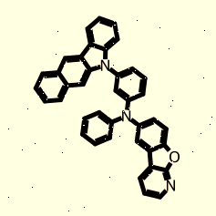 c1ccc(N(c2cccc(-n3c4ccccc4c4cc5ccccc5cc43)c2)c2ccc3oc4ncccc4c3c2)cc1